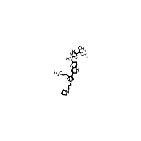 CCCc1nn(CCCN2CCCC2)cc1-c1cnc2ccc(Nc3nnc(C(C)C)s3)nc2c1